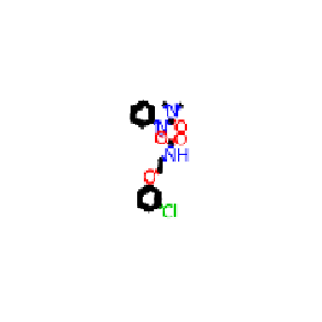 CN(C)C(=O)N(OC(=O)NCCOc1cccc(Cl)c1)c1ccccc1